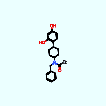 CCC(=O)N(Cc1ccccc1)[C@H]1CC[C@@H](c2ccc(O)cc2O)CC1